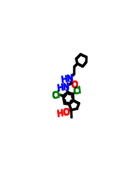 CC1(O)CCc2c1cc(Cl)c(NC(=O)NCCC1CCCCC1)c2Cl